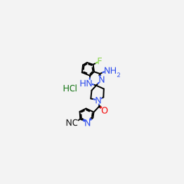 Cl.N#Cc1ccc(C(=O)N2CCC3(CC2)N=C(N)c2c(F)cccc2N3)cn1